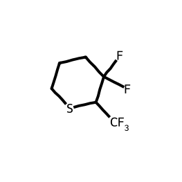 FC(F)(F)C1SCCCC1(F)F